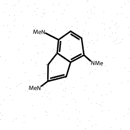 CNC1=Cc2c(NC)ccc(NC)c2[CH]1